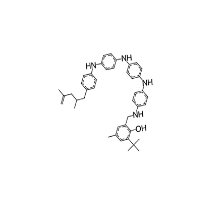 C=C(C)CC(C)Cc1ccc(Nc2ccc(Nc3ccc(Nc4ccc(NCc5cc(C)cc(C(C)(C)C)c5O)cc4)cc3)cc2)cc1